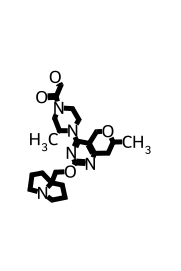 CC1Cc2nc(OCC34CCCN3CCC4)nc(N3CCN(C(=O)C=O)C[C@@H]3C)c2CO1